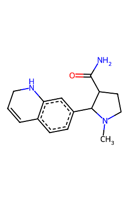 CN1CCC(C(N)=O)C1c1ccc2c(c1)NCC=C2